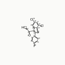 C#CC(=O)c1c(-c2ccc(F)cc2)nc2c(Cl)cc(Cl)cn12